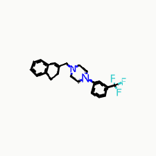 FC(F)(F)c1cccc(N2CCN(CC3=Cc4ccccc4CC3)CC2)c1